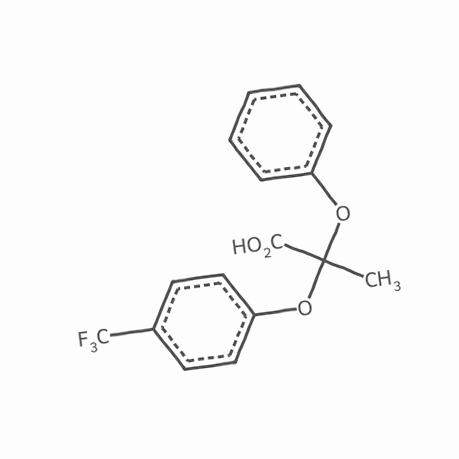 CC(Oc1ccccc1)(Oc1ccc(C(F)(F)F)cc1)C(=O)O